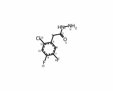 NNC(=O)Cc1cc(F)c(F)cc1Cl